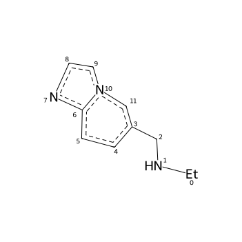 CCNCc1ccc2nccn2c1